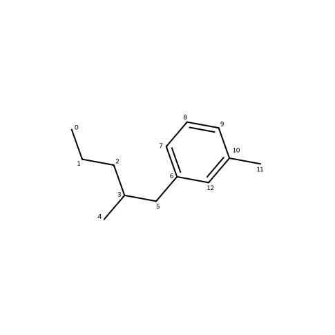 CCCC(C)Cc1cccc(C)c1